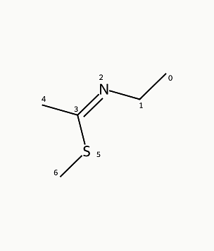 CCN=C(C)SC